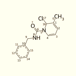 CC1=CC=CN(C(=O)NCc2ccccc2)C1Cl